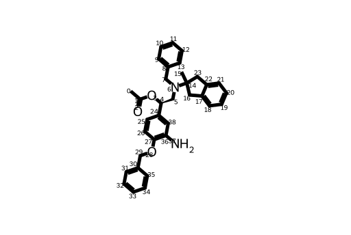 CC(=O)O[C@@H](CN(Cc1ccccc1)C1(C)Cc2ccccc2C1)c1ccc(OCc2ccccc2)c(N)c1